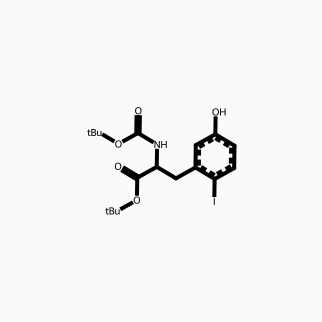 CC(C)(C)OC(=O)NC(Cc1cc(O)ccc1I)C(=O)OC(C)(C)C